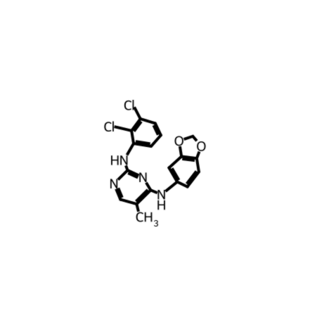 Cc1cnc(Nc2cccc(Cl)c2Cl)nc1Nc1ccc2c(c1)OCO2